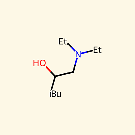 CCC(C)C(O)CN(CC)CC